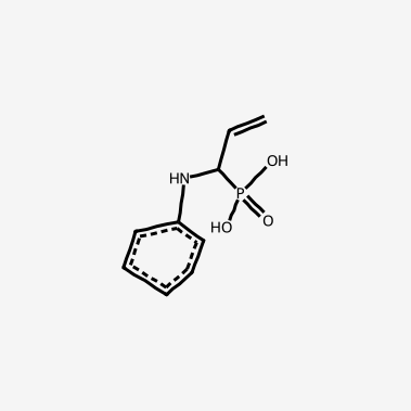 C=CC(Nc1ccccc1)P(=O)(O)O